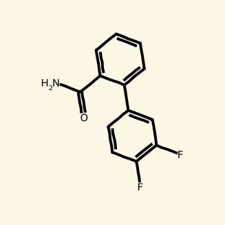 NC(=O)c1ccccc1-c1ccc(F)c(F)c1